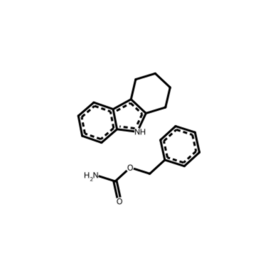 NC(=O)OCc1ccccc1.c1ccc2c3c([nH]c2c1)CCCC3